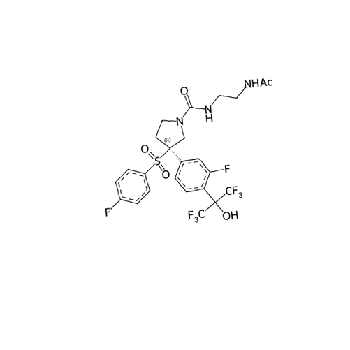 CC(=O)NCCNC(=O)N1CC[C@](c2ccc(C(O)(C(F)(F)F)C(F)(F)F)c(F)c2)(S(=O)(=O)c2ccc(F)cc2)C1